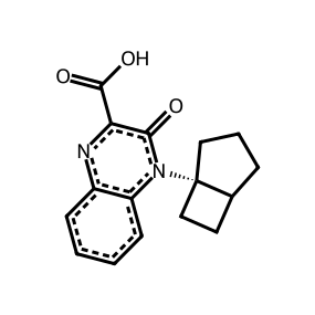 O=C(O)c1nc2ccccc2n([C@]23CCCC2CC3)c1=O